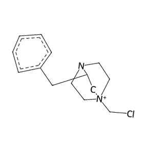 ClC[N+]12CCN(CC1)C(Cc1ccccc1)C2